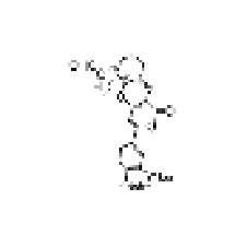 COc1ccc(-c2cc3c(c(=O)o2)C=C2CCC[C@@H](OC=O)[C@]2(C)O3)cc1OC